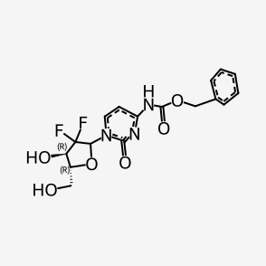 O=C(Nc1ccn(C2O[C@H](CO)[C@@H](O)C2(F)F)c(=O)n1)OCc1ccccc1